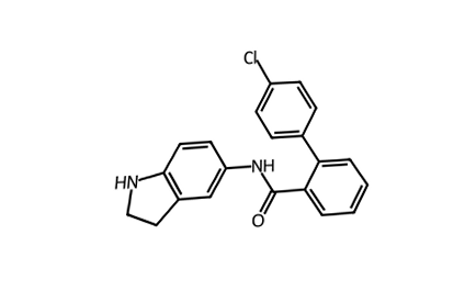 O=C(Nc1ccc2c(c1)CCN2)c1ccccc1-c1ccc(Cl)cc1